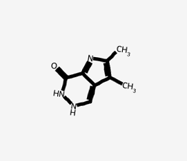 Cc1nc2c(=O)[nH][nH]cc-2c1C